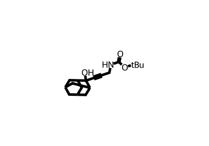 CC(C)(C)OC(=O)NCC#CC1(O)C2CC3CC(C2)CC1C3